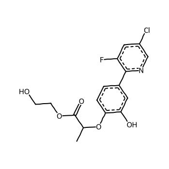 CC(Oc1ccc(-c2ncc(Cl)cc2F)cc1O)C(=O)OCCO